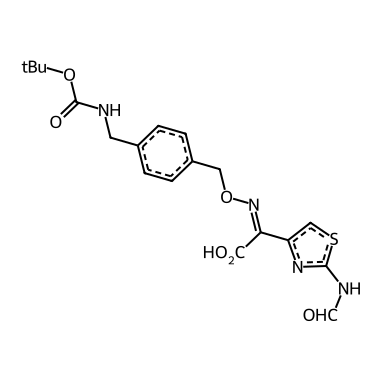 CC(C)(C)OC(=O)NCc1ccc(CO/N=C(\C(=O)O)c2csc(NC=O)n2)cc1